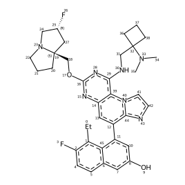 CCc1c(F)ccc2cc(O)cc(-c3cc4nc(OC[C@@]56CCCN5C[C@H](F)C6)nc(NCC5(N(C)C)CCC5)c4n4ccnc34)c12